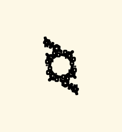 Cc1cnn(C(C)(C)c2ccc(C[C@H]3OC(=O)[C@H](CC(C)C)N(C)C(=O)[C@@H](C)OC(=O)[C@H](CC(C)C)N(C)C(=O)[C@@H](Cc4ccc(C(C)(C)n5cc(C)cn5)cc4)OC(=O)[C@H](CC(C)C)N(C)C(=O)[C@@H](C)OC(=O)[C@H](CC(C)C)N(C)C3=O)cc2)c1